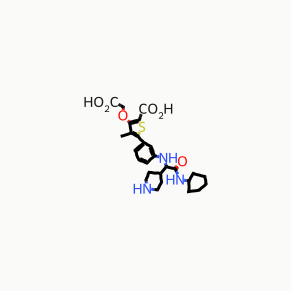 Cc1c(-c2cccc(NC(C(=O)NC3CCCCC3)C3CCNCC3)c2)sc(C(=O)O)c1OCC(=O)O